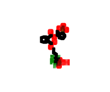 O=C(OCCCC(F)(F)C(F)(F)S(=O)(=O)O)C1C2CCC(C2)C1C(=O)OC1C2CC3C1OS(=O)(=O)C3C2